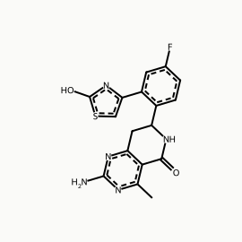 Cc1nc(N)nc2c1C(=O)NC(c1ccc(F)cc1-c1csc(O)n1)C2